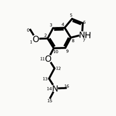 COc1cc2cc[nH]c2cc1OCCN(C)C